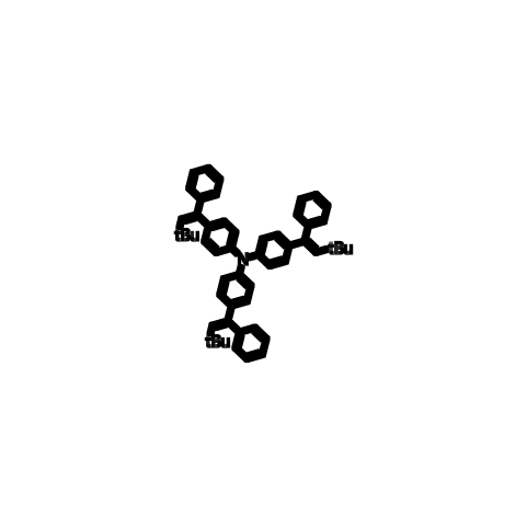 CC(C)(C)C=C(c1ccccc1)c1ccc(N(c2ccc(C(=CC(C)(C)C)c3ccccc3)cc2)c2ccc(C(=CC(C)(C)C)c3ccccc3)cc2)cc1